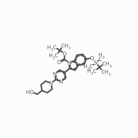 CC(C)(C)OC(=O)n1c(-c2cnc(N3CCC(CO)CC3)nc2)cc2cc(O[Si](C)(C)C(C)(C)C)ccc21